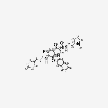 CC1CCN(CCCNc2c(F)cc3c(=O)c(C(=O)NCCC4CCCN4C)cn4c3c2Oc2cc3ccccc3cc2-4)CC1